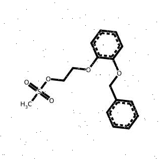 CS(=O)(=O)OCCOc1ccccc1OCc1ccccc1